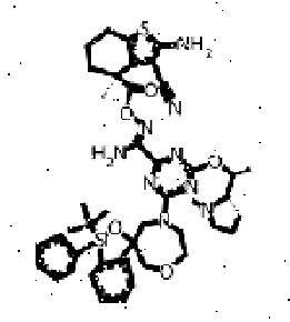 C[C@H](Oc1nc(/C(N)=N/OC(=O)[C@@]2(C)CCCc3sc(N)c(C#N)c32)nc(N2CCOCC(C)(O[Si](c3ccccc3)(c3ccccc3)C(C)(C)C)C2)n1)[C@@H]1CCCN1C